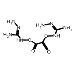 NN=C(N)NOC(=O)C(=O)ONC(N)=NN